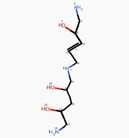 NCC(O)/C=C/CNCC(O)CC(O)CN